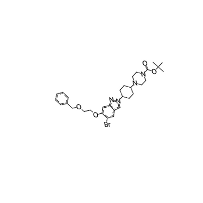 CC(C)(C)OC(=O)N1CCN(C2CCC(n3cc4cc(Br)c(OCCOCc5ccccc5)cc4n3)CC2)CC1